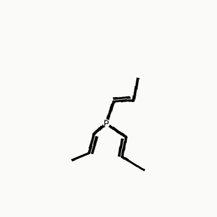 CC=CP(C=CC)C=CC